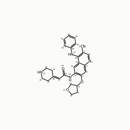 N#Cc1cnc2cc(OC3CCOC3)c(NC(=O)C=C3CCNCC3)cc2c1Nc1ccccn1